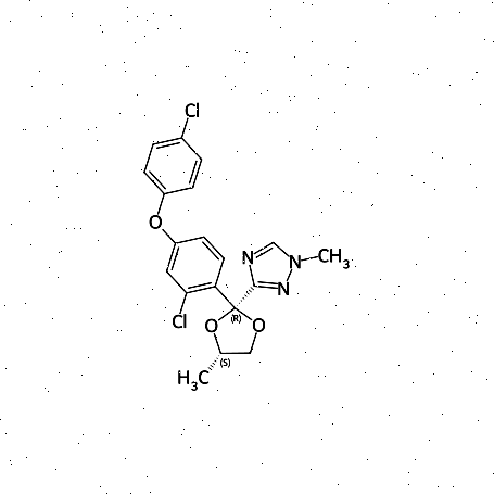 C[C@H]1CO[C@](c2ncn(C)n2)(c2ccc(Oc3ccc(Cl)cc3)cc2Cl)O1